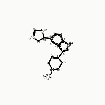 CN1CC=C(c2c[nH]c3ccc(C4CN=CS4)cc23)CC1